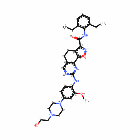 CCc1cccc(CC)c1NC(=O)c1noc2c1CCc1cnc(Nc3ccc(N4CCN(CCO)CC4)cc3OC)nc1-2